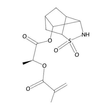 C=C(C)C(=O)O[C@@H](C)C(=O)OC1C2CC3C1NS(=O)(=O)C3C2